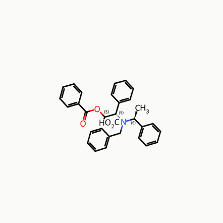 C[C@@H](c1ccccc1)N(Cc1ccccc1)[C@@H](c1ccccc1)[C@H](OC(=O)c1ccccc1)C(=O)O